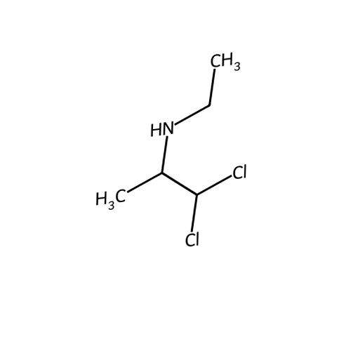 CCNC(C)C(Cl)Cl